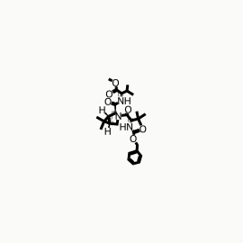 COC(=O)[C@@H](NC(=O)[C@@H]1[C@@H]2[C@H](CN1C(=O)[C@@H](NC(=O)OCc1ccccc1)C(C)(C)C)C2(C)C)C(C)C